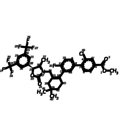 COC(=O)c1ccc(-c2ccc(F)c(C3=C(CN4C(=O)O[C@H](c5cc(C(F)(F)F)cc(C(F)(F)F)c5)C4C)CC(C)(C)CC3)c2)c(Cl)c1